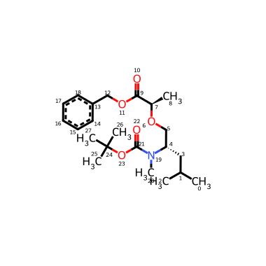 CC(C)C[C@@H](CO[C@H](C)C(=O)OCc1ccccc1)N(C)C(=O)OC(C)(C)C